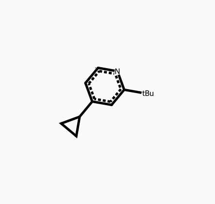 CC(C)(C)c1cc(C2CC2)c[c]n1